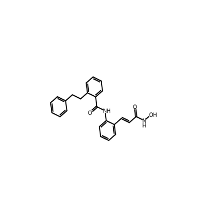 O=C(C=Cc1ccccc1NC(=O)c1ccccc1CCc1ccccc1)NO